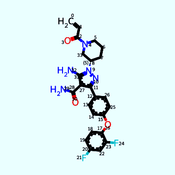 C=CC(=O)N1CCC[C@H](n2nc(-c3ccc(Oc4ccc(F)cc4F)cc3)c(C(N)=O)c2N)C1